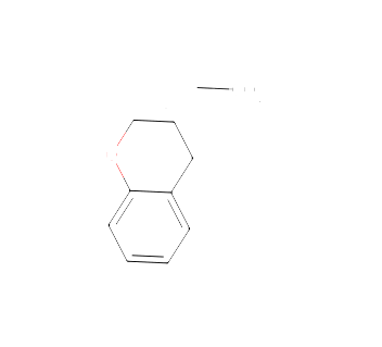 O=C(O)C[C@H]1COc2ccccc2C1